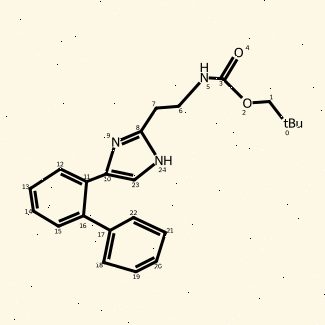 CC(C)(C)COC(=O)NCCc1nc(-c2ccccc2-c2ccccc2)c[nH]1